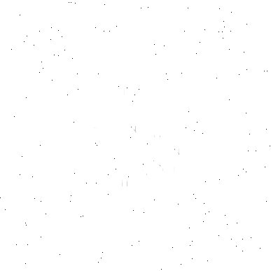 C[C@@](CCn1cc(F)c(-c2ccccc2)c(F)c1=O)(C(=O)NO)S(C)(=O)=O